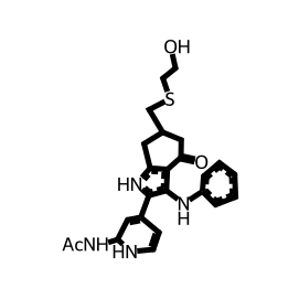 CC(=O)NC1C=C(c2[nH]c3c(c2Nc2ccccc2)C(=O)CC(CSCCO)C3)C=CN1